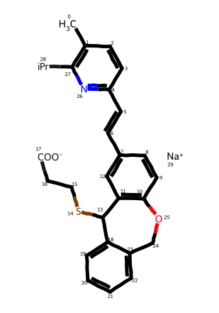 Cc1ccc(/C=C/c2ccc3c(c2)C(SCCC(=O)[O-])c2ccccc2CO3)nc1C(C)C.[Na+]